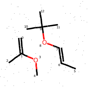 C=C(C)OC.CC=COC(C)(C)C